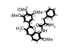 COc1ccc(C=C(C)C(=O)c2cc(OC)c(OC)c(OC)c2)cc1NC(=O)C(N)Cc1ccccc1